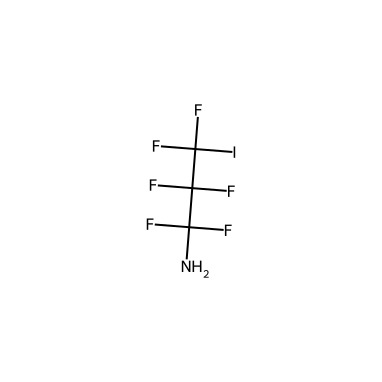 NC(F)(F)C(F)(F)C(F)(F)I